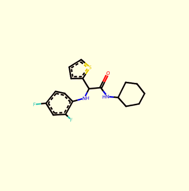 O=C(NC1CCCCC1)C(Nc1ccc(F)cc1F)c1cccs1